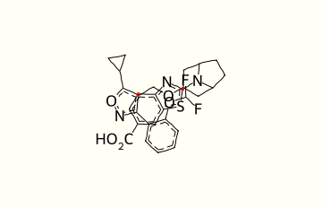 O=C(O)c1ccc2nc(N3C4CCC3CC(OCc3c(-c5ccccc5OC(F)F)noc3C3CC3)C4)sc2c1